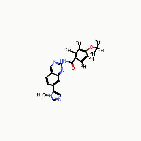 [2H]c1c([2H])c(C(=O)Nc2ncc3ccc(-c4cncn4C)cc3n2)c([2H])c([2H])c1OC([2H])([2H])[2H]